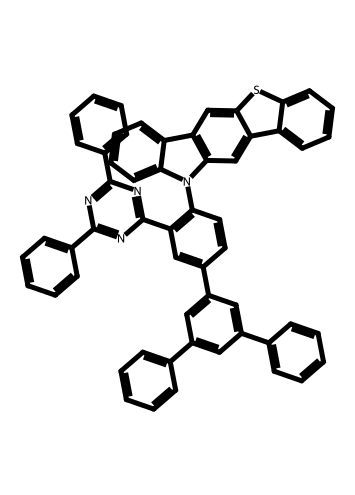 c1ccc(-c2cc(-c3ccccc3)cc(-c3ccc(-n4c5ccccc5c5cc6sc7ccccc7c6cc54)c(-c4nc(-c5ccccc5)nc(-c5ccccc5)n4)c3)c2)cc1